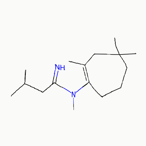 CC1=C(N(C)C(=N)CC(C)C)CCCC(C)(C)C1